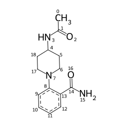 CC(=O)NC1CCN(c2ccccc2C(N)=O)CC1